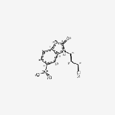 O=c1oc2ccc([N+](=O)[O-])cc2n1CCCCl